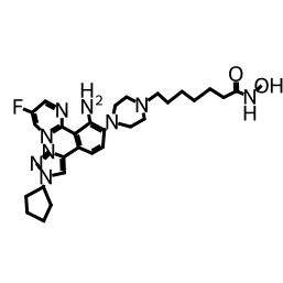 Nc1c(N2CCN(CCCCCCC(=O)NO)CC2)ccc(-c2cn(C3CCCC3)nn2)c1-c1ncc(F)cn1